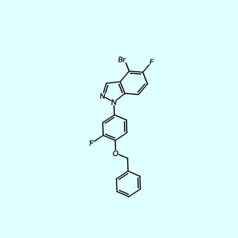 Fc1cc(-n2ncc3c(Br)c(F)ccc32)ccc1OCc1ccccc1